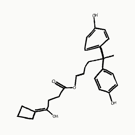 CC(CCCOC(=O)CCC(O)=C1CCC1)(c1ccc(O)cc1)c1ccc(O)cc1